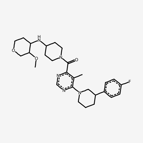 COC1COCCC1NC1CCN(C(=O)c2ncnc(N3CCCC(c4ccc(F)cc4)C3)c2C)CC1